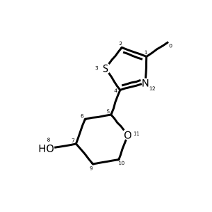 Cc1csc(C2CC(O)CCO2)n1